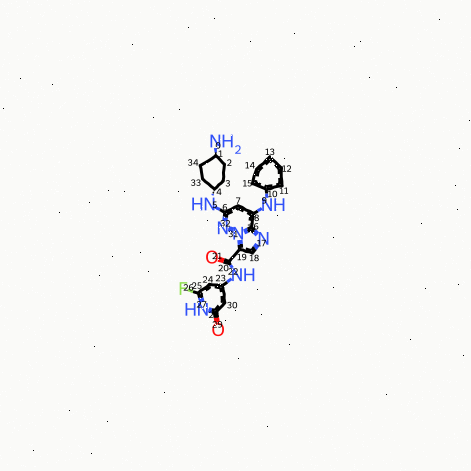 N[C@H]1CC[C@H](Nc2cc(Nc3ccccc3)c3ncc(C(=O)Nc4cc(F)[nH]c(=O)c4)n3n2)CC1